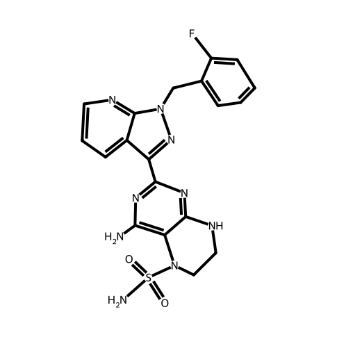 Nc1nc(-c2nn(Cc3ccccc3F)c3ncccc23)nc2c1N(S(N)(=O)=O)CCN2